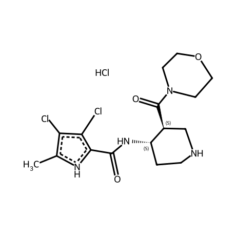 Cc1[nH]c(C(=O)N[C@H]2CCNC[C@@H]2C(=O)N2CCOCC2)c(Cl)c1Cl.Cl